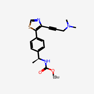 C[C@H](NC(=O)OC(C)(C)C)c1ccc(-c2scnc2C#CCN(C)C)cc1